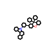 c1ccc(C2(c3ccccc3)c3ccccc3Oc3ccc(-c4cccc(-n5c6ccccc6c6c7ccccc7ccc65)c4)cc32)cc1